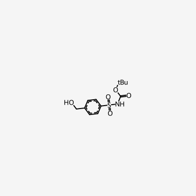 CC(C)(C)OC(=O)NS(=O)(=O)c1ccc(CO)cc1